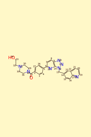 O=C(c1ccc(-c2ccc3nnn(Cc4ccc5ncccc5c4)c3n2)cc1)N1CCN(CCO)CC1